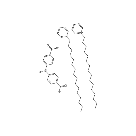 CCCCCCCCCCCCCCCC[n+]1ccccc1.CCCCCCCCCCCCCCCC[n+]1ccccc1.O=C([O-])c1ccc([S+]([O-])c2ccc(C(=O)[O-])cc2)cc1